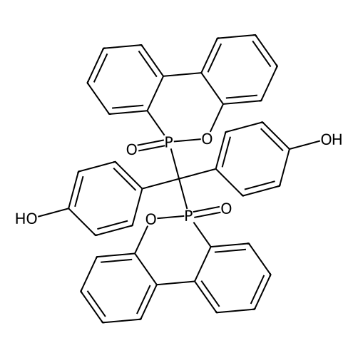 O=P1(C(c2ccc(O)cc2)(c2ccc(O)cc2)P2(=O)Oc3ccccc3-c3ccccc32)Oc2ccccc2-c2ccccc21